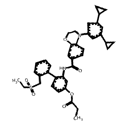 CCC(=O)Oc1ccc(-c2ccccc2CS(=O)(=O)CC)c(NC(=O)c2ccc3c(c2)OCCN3c2cc(C3CC3)cc(C3CC3)c2)c1